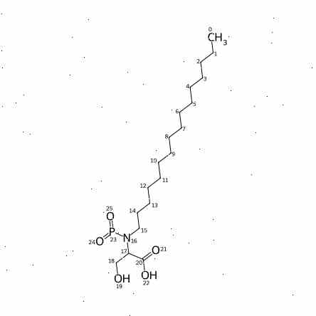 CCCCCCCCCCCCCCCCN(C(CO)C(=O)O)P(=O)=O